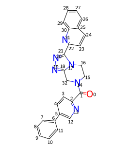 O=C(c1ccc(-c2ccccc2)cn1)N1CCn2c(nnc2-c2ccc3ccccc3n2)C1